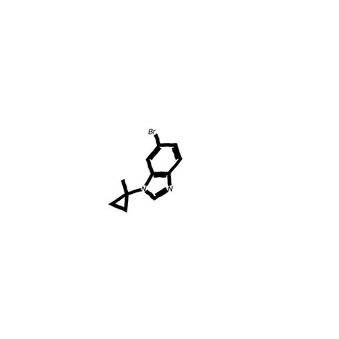 CC1(n2cnc3ccc(Br)cc32)CC1